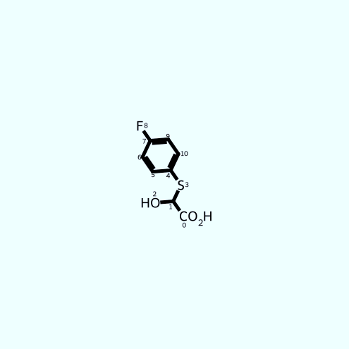 O=C(O)C(O)Sc1ccc(F)cc1